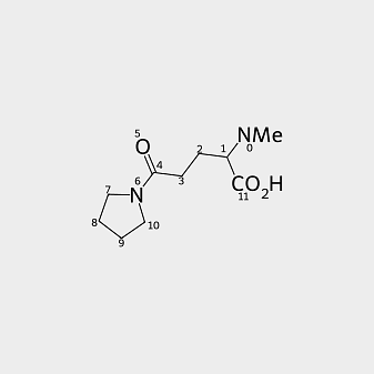 CNC(CCC(=O)N1CCCC1)C(=O)O